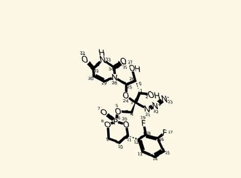 C[C@H](O)[C@](COP1(=O)OCC[C@@H](c2cccc(F)c2F)O1)(N=[N+]=[N-])OC(CO)n1ccc(=O)[nH]c1=O